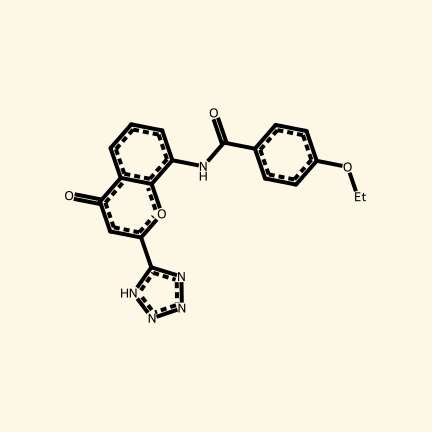 CCOc1ccc(C(=O)Nc2cccc3c(=O)cc(-c4nnn[nH]4)oc23)cc1